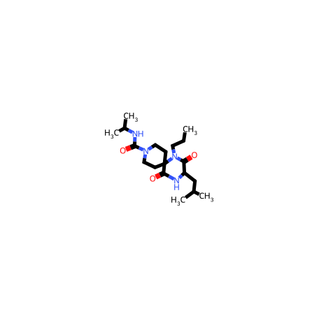 CCCN1C(=O)C(CC(C)C)NC(=O)C12CCN(C(=O)NC(C)C)CC2